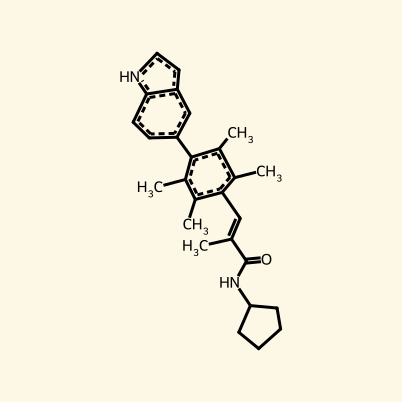 C/C(=C\c1c(C)c(C)c(-c2ccc3[nH]ccc3c2)c(C)c1C)C(=O)NC1CCCC1